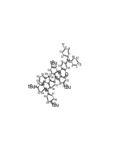 Cc1ccc(N(c2ccc(C)cc2)c2ccc3c(c2)Oc2cc(C(C)(C)C)cc4c2B3c2cc(C(C)(C)C)ccc2N4c2ccc(N(c3ccc(C(C)(C)C)cc3)c3ccc(C(C)(C)C)cc3)c3c2C(C)(C)c2ccccc2-3)cc1